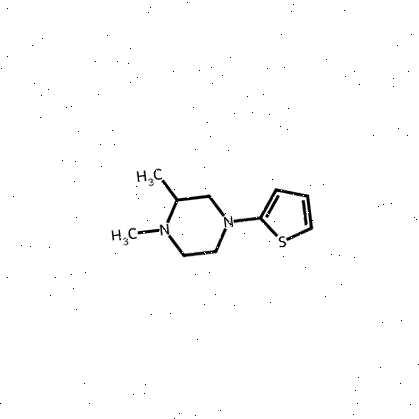 CC1CN(c2cccs2)CCN1C